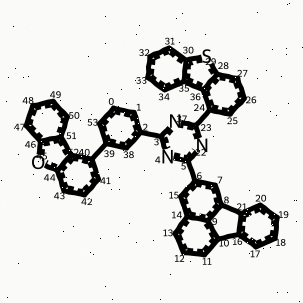 c1cc(-c2nc(-c3cc4c5c(cccc5c3)-c3ccccc3-4)nc(-c3cccc4sc5ccccc5c34)n2)cc(-c2cccc3oc4ccccc4c23)c1